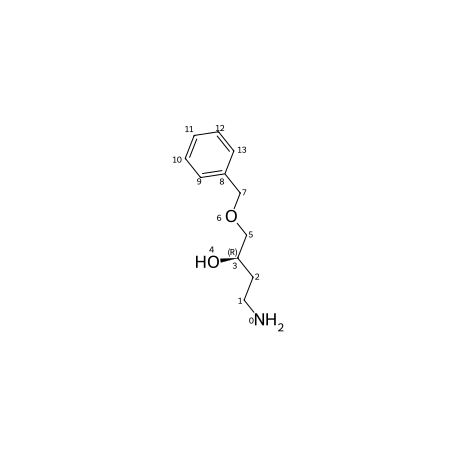 NCC[C@@H](O)COCc1ccccc1